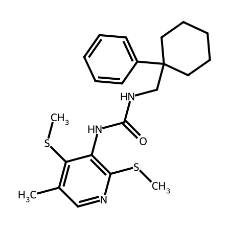 CSc1ncc(C)c(SC)c1NC(=O)NCC1(c2ccccc2)CCCCC1